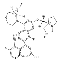 [2H]C([2H])(Oc1nc(N2CCOC[C@H]3[C@H](F)[C@H]32)c2cnc(-c3cc(O)cc4ccc(F)c(C#C)c34)c(F)c2n1)[C@@]12CCCN1C[C@H](F)C2